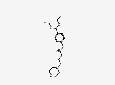 CCOC(OCC)c1ccc(CNCCCN2CCOCC2)cc1